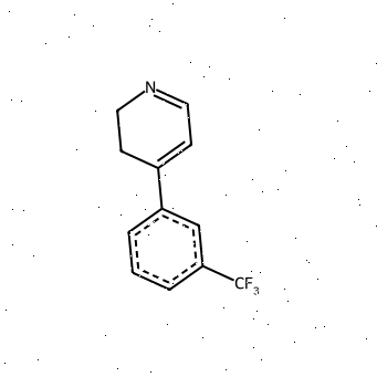 FC(F)(F)c1cccc(C2=CC=NCC2)c1